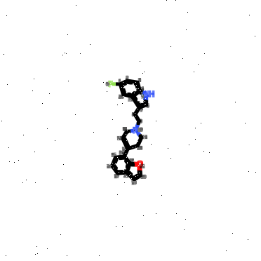 Fc1ccc2[nH]cc(CCN3CC=C(c4cccc5ccoc45)CC3)c2c1